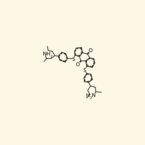 CCCC(CC(C)N)c1ccc(Sc2cccc3c2C(=O)c2c(Sc4ccc(C(CCC)CC(C)N)cc4)cccc2C3=O)cc1